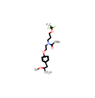 CCOC(Cc1ccc(OCCN(CCCOC(F)(F)C(F)(F)F)C(=O)OCC(C)C)cc1)C(=O)O